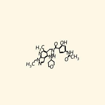 CCn1ncc2c(NC3CCOCC3)c(CNC(=O)c3ccc(NC(C)=O)cc3O)c(C)nc21